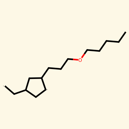 [CH2]CC1C[CH]C(CCCOCCCCC)C1